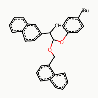 CCC(C)c1ccc(OC(OCc2cccc3ccccc23)C(C)c2ccc3ccccc3c2)cc1